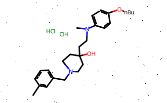 CCCCOc1ccc(N(C)CCC2(O)CCN(Cc3cccc(C)c3)CC2)cc1.Cl.Cl